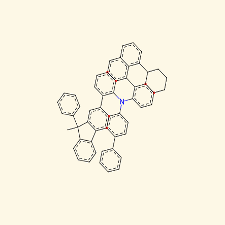 CC1(c2ccccc2)c2ccccc2-c2ccc(-c3ccccc3N(c3ccc(-c4ccccc4)cc3)c3ccccc3-c3cccc4cccc(C5CCCCC5)c34)cc21